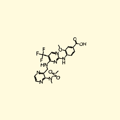 COc1cc(C(=O)O)ccc1Nc1ncc(C(F)(F)F)c(NCc2nccnc2N(C)S(C)(=O)=O)n1